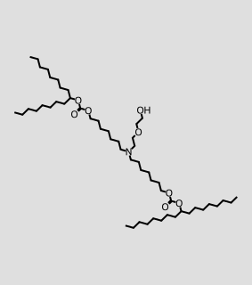 CCCCCCCCC(CCCCCCCC)OC(=O)OCCCCCCCN(CCCCCCCOC(=O)OC(CCCCCCCC)CCCCCCCC)CCOCCO